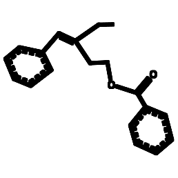 CCC(=Cc1ccccc1)CCOC(=O)c1ccccc1